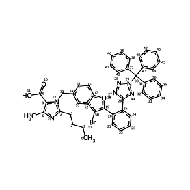 CCCCc1nc(C)c(C(=O)O)n1Cc1ccc2oc(-c3ccccc3-c3nnn(C(c4ccccc4)(c4ccccc4)c4ccccc4)n3)c(Br)c2c1